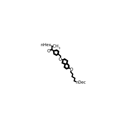 CCCCCCCCCCCCCCCOc1ccc2cc(OCc3ccc(C(=O)[C@H](C)CCCCCC)cc3)ccc2c1